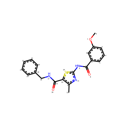 COc1cccc(C(=O)Nc2nc(C)c(C(=O)NCc3ccccc3)s2)c1